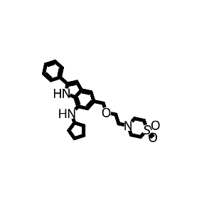 O=S1(=O)CCN(CCOCc2cc(NC3CCCC3)c3[nH]c(-c4ccccc4)cc3c2)CC1